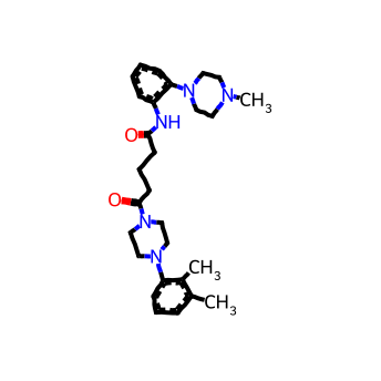 Cc1cccc(N2CCN(C(=O)CCCC(=O)Nc3ccccc3N3CCN(C)CC3)CC2)c1C